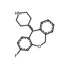 Fc1ccc2c(c1)OCc1ccccc1C2=C1CCNCC1